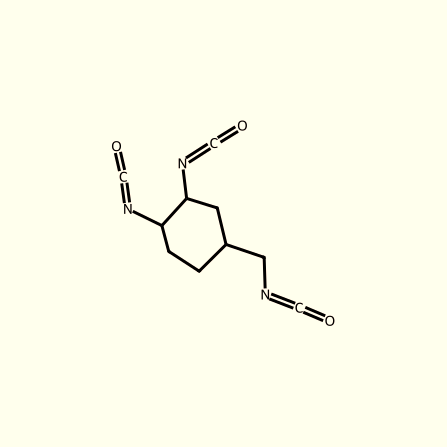 O=C=NCC1CCC(N=C=O)C(N=C=O)C1